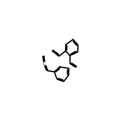 C=C=Cc1ccccc1.C=Cc1ccccc1C=C